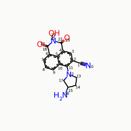 N#Cc1cc2c3c(cccc3c1N1CCC(N)C1)C(=O)N(O)C2=O